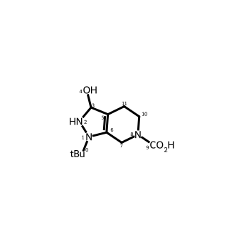 CC(C)(C)N1NC(O)C2=C1CN(C(=O)O)CC2